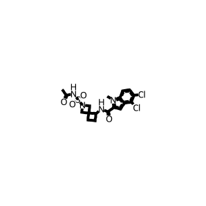 CC(=O)NS(=O)(=O)N1CC2(CCC2NC(=O)c2cc3c(Cl)c(Cl)ccc3n2C)C1